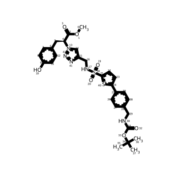 COC(=O)[C@H](Cc1ccc(O)cc1)n1cc(CNS(=O)(=O)c2ccc(-c3ccc(CNC(=O)OC(C)(C)C)cc3)s2)nn1